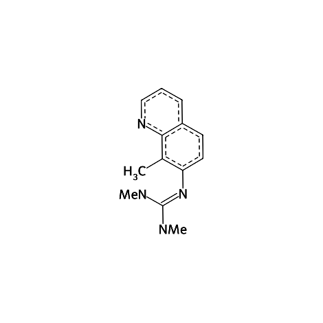 CNC(=Nc1ccc2cccnc2c1C)NC